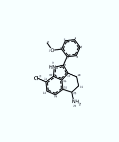 COc1ccccc1-c1[nH]c2c(Cl)ccc3c2c1CCC3N